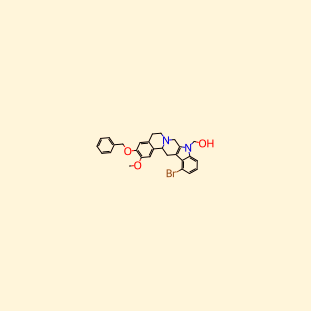 COc1cc2c(cc1OCc1ccccc1)CCN1Cc3c(c4c(Br)cccc4n3CO)CC21